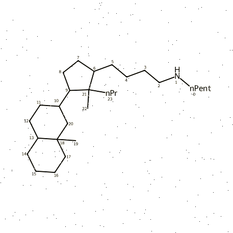 CCCCCNCCCCC1CCC(C2CCC3CCCCC3(C)C2)C1(C)CCC